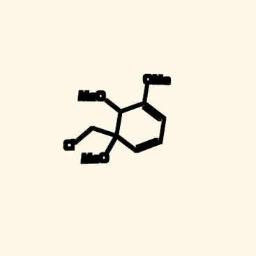 COC1=CC=CC(CCl)(OC)C1OC